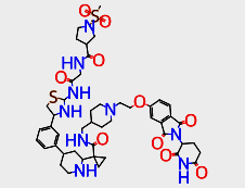 CS(=O)(=O)N1CCC(C(=O)NCC(=O)NC2NC(c3cccc(C4CCNC(C5(C(=O)NCC6CCN(CCOc7ccc8c(c7)C(=O)N(C7CCC(=O)NC7=O)C8=O)CC6)CC5)C4)c3)CS2)C1